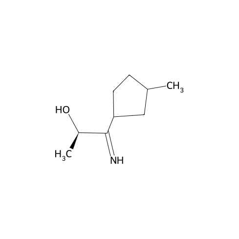 CC1CCC(C(=N)[C@@H](C)O)C1